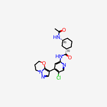 CC(=O)N[C@@H]1CCC[C@H](C(=O)Nc2cc(-c3cnn4c3OCCC4)c(Cl)cn2)C1